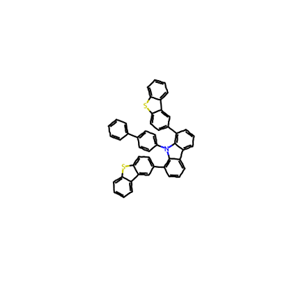 c1ccc(-c2ccc(-n3c4c(-c5ccc6sc7ccccc7c6c5)cccc4c4cccc(-c5ccc6sc7ccccc7c6c5)c43)cc2)cc1